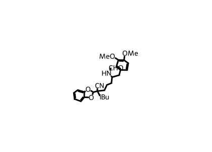 CCC(C)C(C#N)(CCCC(Cc1ccc(OC)c(OC)c1)NC=O)C1Oc2ccccc2O1